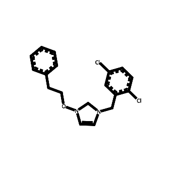 Clc1ccc(Cl)c(CN2C=CN(OCCc3ccccc3)C2)c1